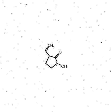 C=CC1CCN(O)C1=O